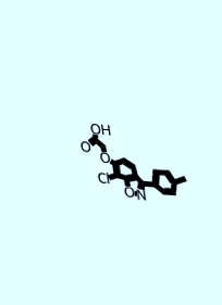 Cc1ccc(-c2noc3c(Cl)c(OCC(=O)O)ccc23)cc1